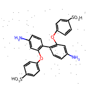 Nc1ccc(-c2ccc(N)cc2Oc2ccc(S(=O)(=O)O)cc2)c(Oc2ccc(S(=O)(=O)O)cc2)c1